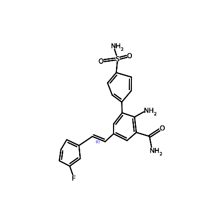 NC(=O)c1cc(/C=C/c2cccc(F)c2)cc(-c2ccc(S(N)(=O)=O)cc2)c1N